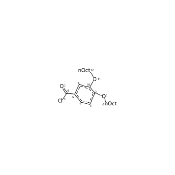 CCCCCCCCOc1ccc(C(=O)Cl)cc1OCCCCCCCC